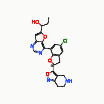 CCC(O)c1cc2ncnc(-c3cc(Cl)cc4c3O[C@@H](c3onc5c3CNCC5)C4)c2o1